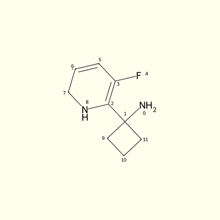 NC1(C2=C(F)C=[C]CN2)CCC1